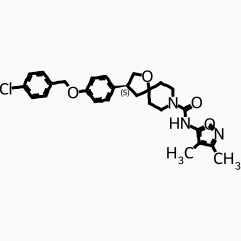 Cc1noc(NC(=O)N2CCC3(CC2)C[C@@H](c2ccc(OCc4ccc(Cl)cc4)cc2)CO3)c1C